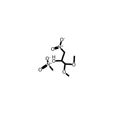 COC(OC)C(O)C[N+](=O)[O-].C[N+](=O)[O-]